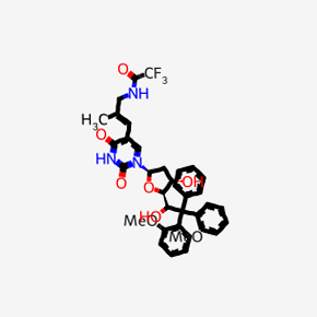 COc1ccccc1C(c1ccccc1)(c1ccccc1OC)C(O)[C@H]1O[C@@H](n2cc(/C=C(\C)CNC(=O)C(F)(F)F)c(=O)[nH]c2=O)C[C@@H]1O